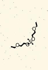 CCOCCO[Si](C)(C)OCCOCC